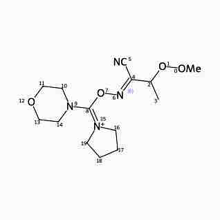 COOC(C)/C(C#N)=N/OC(N1CCOCC1)=[N+]1CCCC1